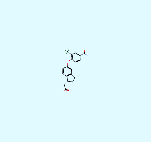 NC(=O)c1ccc(Oc2ccc3c(c2)CC[C@H]3CC(=O)O)c(C(F)(F)F)c1